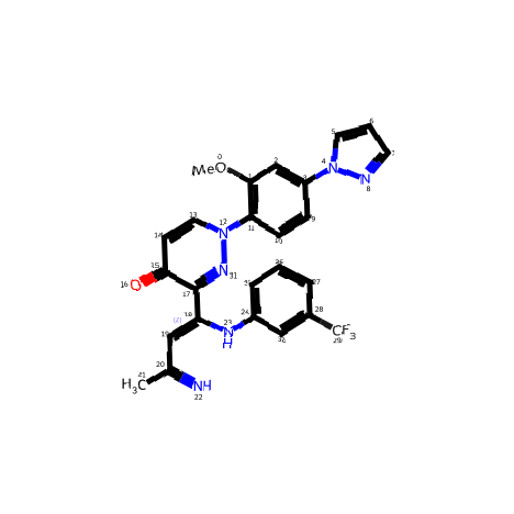 COc1cc(-n2cccn2)ccc1-n1ccc(=O)c(/C(=C/C(C)=N)Nc2cccc(C(F)(F)F)c2)n1